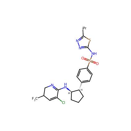 CC(C)c1nnc(NS(=O)(=O)c2ccc([C@@H]3CCC[C@H]3NC3=NCC(C(F)(F)F)C=C3Cl)cc2)s1